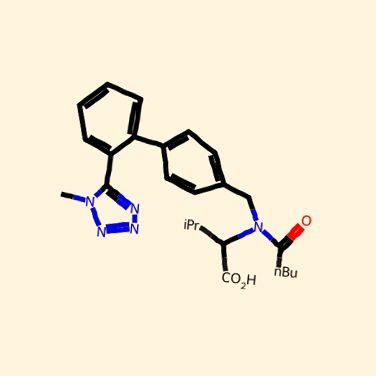 CCCCC(=O)N(Cc1ccc(-c2ccccc2-c2nnnn2C)cc1)C(C(=O)O)C(C)C